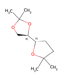 CC1(C)CC[C@@H]([C@H]2COC(C)(C)O2)O1